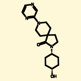 O=C1N([C@H]2CC[C@@H](O)CC2)CCC12CCN(c1cnccn1)CC2